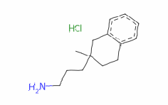 CC1(CCCN)CCc2ccccc2C1.Cl